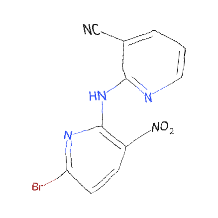 N#Cc1cccnc1Nc1nc(Br)ccc1[N+](=O)[O-]